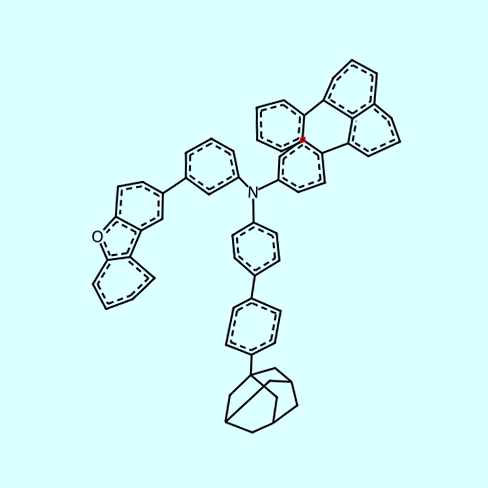 c1ccc(-c2cccc3cccc(-c4ccc(N(c5ccc(-c6ccc(C78CC9CC(CC(C9)C7)C8)cc6)cc5)c5cccc(-c6ccc7oc8ccccc8c7c6)c5)cc4)c23)cc1